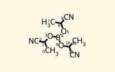 CC(C#N)OB(OC(C)C#N)OC(C)C#N